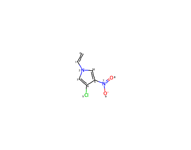 C=Cn1cc(Cl)c([N+](=O)[O-])c1